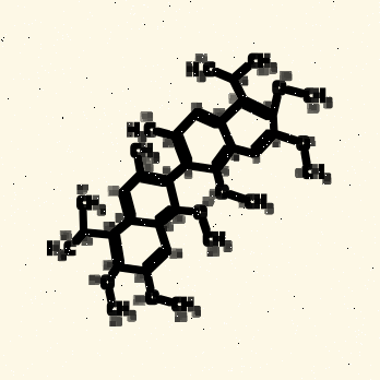 COc1cc2c(OC)c(-c3c(C)cc4c(C(C)C)c(OC)c(OC)cc4c3OC)c(C)cc2c(C(C)C)c1OC